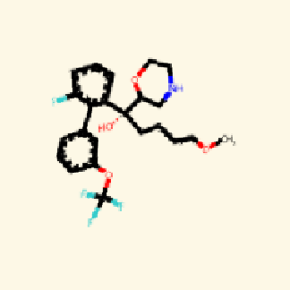 COCCCC[C@@](O)(c1cccc(F)c1-c1cccc(OC(F)(F)F)c1)C1CNCCO1